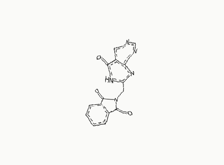 O=C1c2ccccc2C(=O)N1Cc1nc2ncncc2c(=O)[nH]1